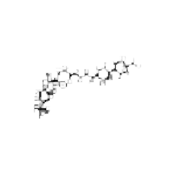 CCC1C=CC(C2CCC(CCCCC3CCC(C(F)(F)Oc4ccc(C(F)(F)F)cc4)OC3)CC2)CC1